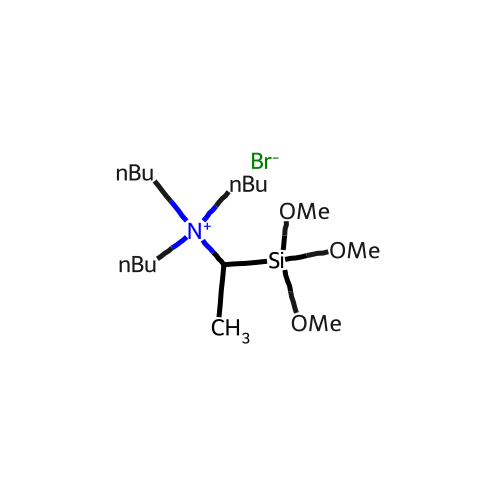 CCCC[N+](CCCC)(CCCC)C(C)[Si](OC)(OC)OC.[Br-]